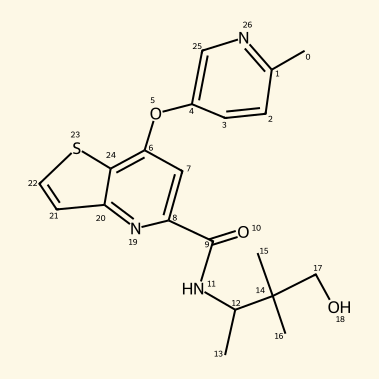 Cc1ccc(Oc2cc(C(=O)NC(C)C(C)(C)CO)nc3ccsc23)cn1